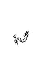 Cc1ncnc(C)c1C(=O)N1CCC(C)(N2CCC(N(c3ccccc3)c3ccc(Br)c(C(F)(F)F)c3)CC2)CC1